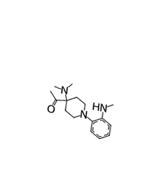 CNc1ccccc1N1CCC(C(C)=O)(N(C)C)CC1